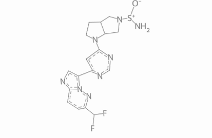 N[S+]([O-])N1CC2CCN(c3cc(-c4cnc5ccc(C(F)F)nn45)ncn3)C2C1